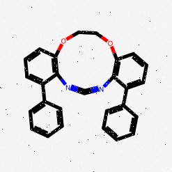 C1=Nc2c(cccc2-c2ccccc2)OCCOc2cccc(-c3ccccc3)c2N=1